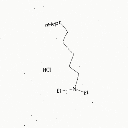 CCCCCCCCCCCCN(CC)CC.Cl